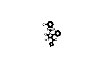 O=C(C1=C(O)C(=O)N(c2nc3c(Cl)cccc3s2)C1c1ccccc1F)C1CCC1